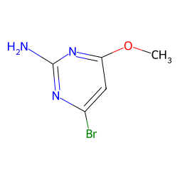 COc1cc(Br)nc(N)n1